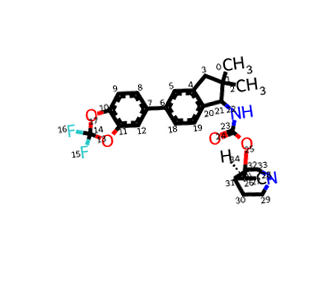 CC1(C)Cc2cc(-c3ccc4c(c3)OC(F)(F)O4)ccc2C1NC(=O)O[C@H]1CN2CCC1CC2